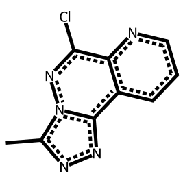 Cc1nnc2c3cccnc3c(Cl)nn12